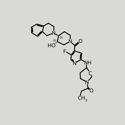 CCC(=O)N1CCC(Nc2cc(C(=O)N3CC[C@H](N4CCc5ccccc5C4)[C@@H](O)C3)c(F)cn2)CC1